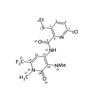 CCSc1ccc(Cl)nc1C(=O)Nc1cc(C(F)(F)F)n(C)c(=O)c1NC